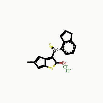 CC1=CC2=[C]([Zr+2](=[S])[c]3cccc4c3C=CC4)C(Br)SC2=C1.[Cl-].[Cl-]